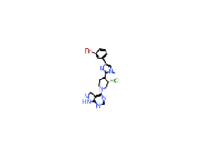 Cl.Cn1cc(-c2cccc(Br)c2)nc1C1CCN(c2ncnc3[nH]ncc23)CC1